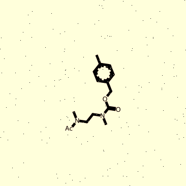 CC(=O)N(C)CCN(C)C(=O)OCc1ccc(C)cc1